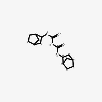 O=C(OC1CC2CCC1C2)SC(=O)OC1CC2CCC1C2